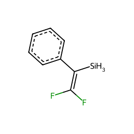 FC(F)=C([SiH3])c1ccccc1